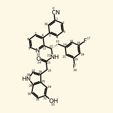 N#Cc1cccc(-c2cccnc2[C@H](Cc2cc(F)cc(F)c2)NC(=O)Cc2c[nH]c3ccc(O)cc23)c1